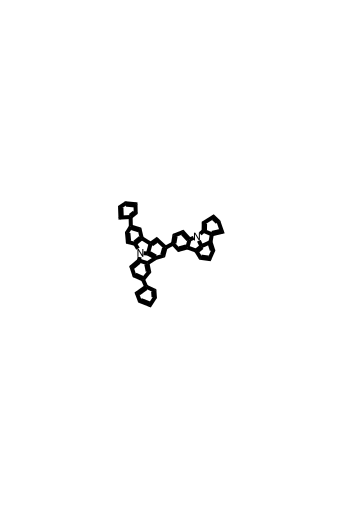 c1ccc(-c2ccc3c(c2)c2cc(-c4ccc5c(c4)c4cccc6c7ccccc7n5c64)cc4c5cc(-c6ccccc6)ccc5n3c24)cc1